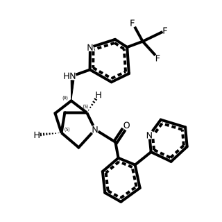 O=C(c1ccccc1-c1ccccn1)N1C[C@H]2C[C@@H](Nc3ccc(C(F)(F)F)cn3)[C@@H]1C2